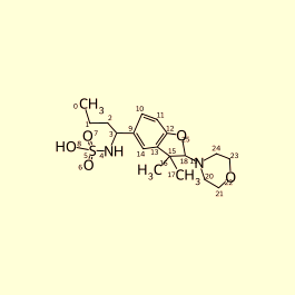 CCCC(NS(=O)(=O)O)c1ccc2c(c1)C(C)(C)C(N1CCOCC1)O2